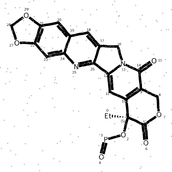 CC[C@@]1(OP=O)C(=O)OCc2c1cc1n(c2=O)Cc2cc3cc4c(cc3nc2-1)OCO4